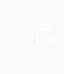 OC1=CC=CC(O)([SiH2]Cl)C1O